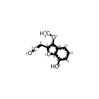 COc1c(C=C=O)oc2c(O)cccc12